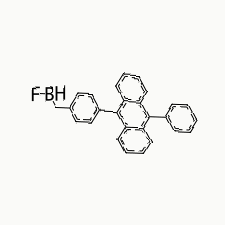 FBCc1ccc(-c2c3ccccc3c(-c3ccccc3)c3ccccc23)cc1